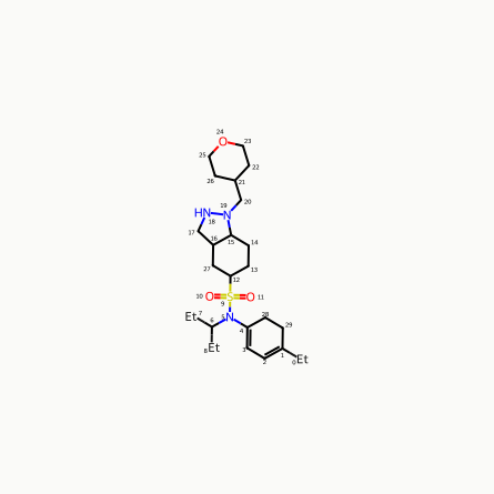 CCC1=CC=C(N(C(CC)CC)S(=O)(=O)C2CCC3C(CNN3CC3CCOCC3)C2)CC1